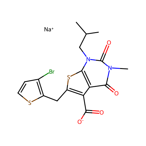 CC(C)Cn1c(=O)n(C)c(=O)c2c(C(=O)[O-])c(Cc3sccc3Br)sc21.[Na+]